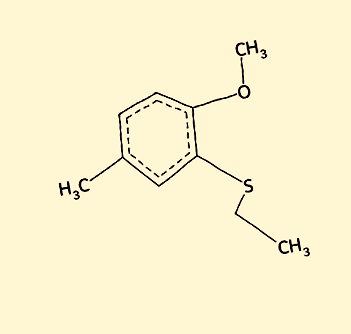 CCSc1cc(C)ccc1OC